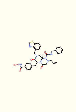 C=CCN1CC(=O)N2[C@@H](Cc3ccc(C(=O)NO)cc3)C(=O)N(Cc3cccc4scnc34)C[C@@H]2N1C(=O)NCc1ccccc1